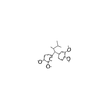 COc1ccc(C(c2ccc(OC)c(OC)c2)C(C)C(C)C)cc1OC